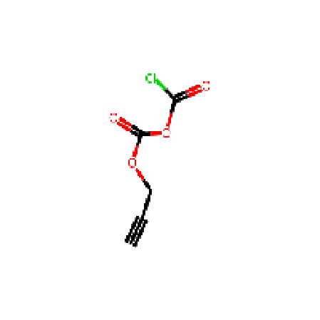 C#CCOC(=O)OC(=O)Cl